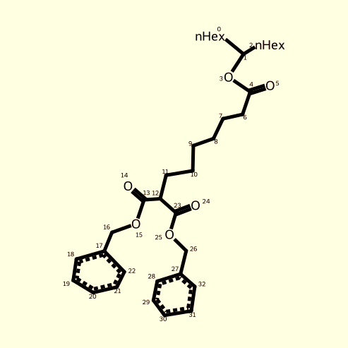 CCCCCCC(CCCCCC)OC(=O)CCCCCCC(C(=O)OCc1ccccc1)C(=O)OCc1ccccc1